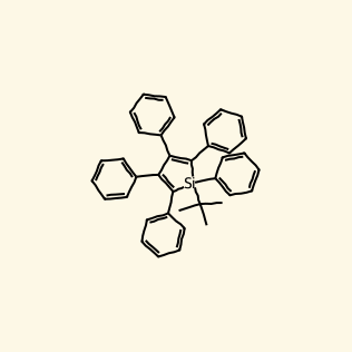 CC(C)(C)[Si]1(c2ccccc2)C(c2ccccc2)=C(c2ccccc2)C(c2ccccc2)=C1c1ccccc1